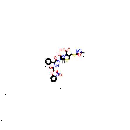 Cc1nnc(SCC2=C(C(=O)O)N3C(=O)C(NC(=O)[C@@H](NC(=O)COc4ccccc4[N+](=O)[O-])c4ccccc4)[C@@H]3SC2)o1